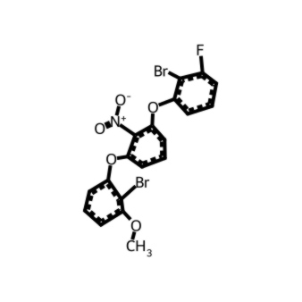 COc1cccc(Oc2cccc(Oc3cccc(F)c3Br)c2[N+](=O)[O-])c1Br